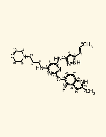 C/C=C/c1cc(Nc2cc(NCCCN3CCOCC3)nc(Oc3ccc4[nH]c(C)cc4c3F)n2)n[nH]1